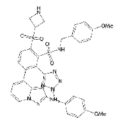 COc1ccc(CNS(=O)(=O)c2c(S(=O)(=O)C3CNC3)ccc(-c3cccn4nc(N)nc34)c2-c2nnn(Cc3ccc(OC)cc3)n2)cc1